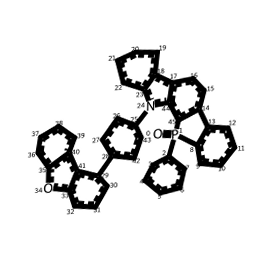 O=P1(c2ccccc2)c2ccccc2-c2ccc3c4ccccc4n(-c4ccc(-c5cccc6oc7ccccc7c56)cc4)c3c21